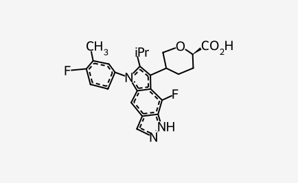 Cc1cc(-n2c(C(C)C)c(C3CC[C@H](C(=O)O)OC3)c3c(F)c4[nH]ncc4cc32)ccc1F